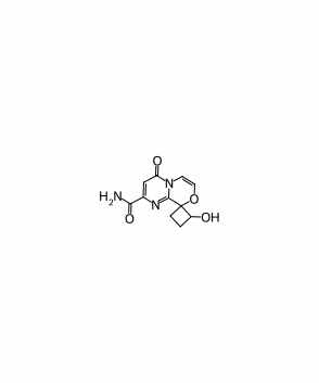 NC(=O)c1cc(=O)n2c(n1)C1(CCC1O)OC=C2